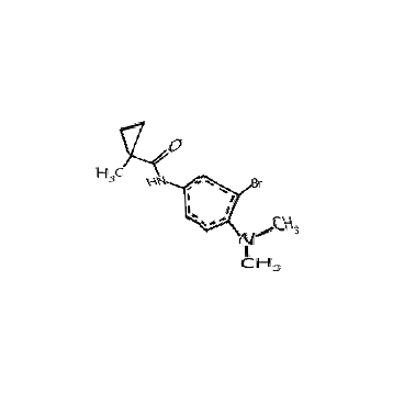 CN(C)c1ccc(NC(=O)C2(C)CC2)cc1Br